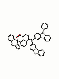 c1ccc(-n2c3ccccc3c3cc(N(c4ccc5sc6ccccc6c5c4)c4ccc5c6c(cccc46)C4(c6ccccc6Sc6ccccc64)c4ccccc4-5)ccc32)cc1